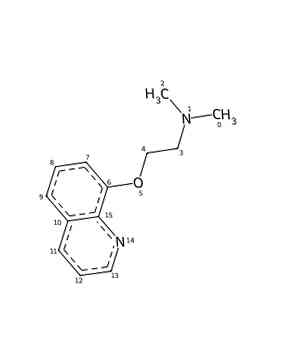 CN(C)CCOc1cccc2cccnc12